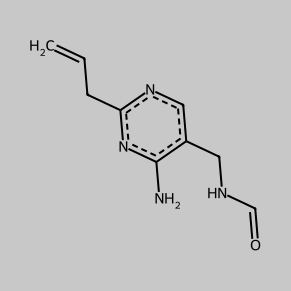 C=CCc1ncc(CNC=O)c(N)n1